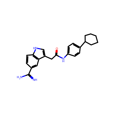 N=C(N)c1ccc2[nH]cc(CC(=O)Nc3ccc(C4CCCCC4)cc3)c2c1